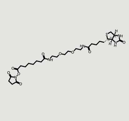 O=C(CCCCCCC(=O)ON1C(=O)CCC1=O)NCCOCCOCCNC(=O)CCCC[C@@H]1SC[C@@H]2NC(=O)N[C@@H]21